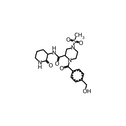 CS(=O)(=O)N1CCN(C(=O)c2ccc(CO)cc2)C(C(=O)NC2CCCNC2=O)C1